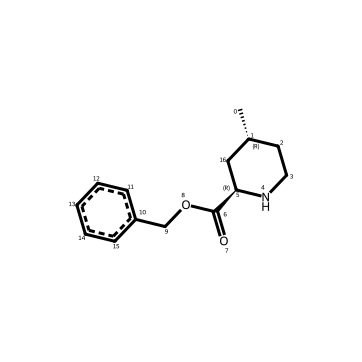 C[C@@H]1CCN[C@@H](C(=O)OCc2ccccc2)C1